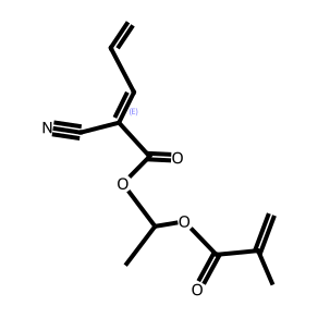 C=C/C=C(\C#N)C(=O)OC(C)OC(=O)C(=C)C